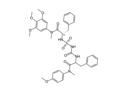 COc1ccc(N(C)C(=O)C(Cc2ccccc2)NC(=O)NS(=O)(=O)N[C@@H](Cc2ccccc2)C(=O)N(C)c2cc(OC)c(OC)c(OC)c2)cc1